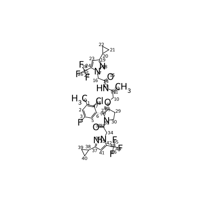 Cc1cc(F)cc([C@@H]2[C@H](OC[C@@H](C)NC(=O)Cn3nc(C4CC4)cc3C(F)(F)F)CCN2C(=O)Cn2nc(C3CC3)cc2C(F)(F)F)c1Cl